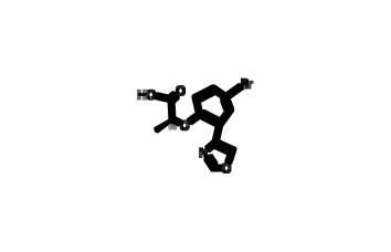 C[C@H](Oc1ccc(Br)cc1-c1cocn1)C(=O)O